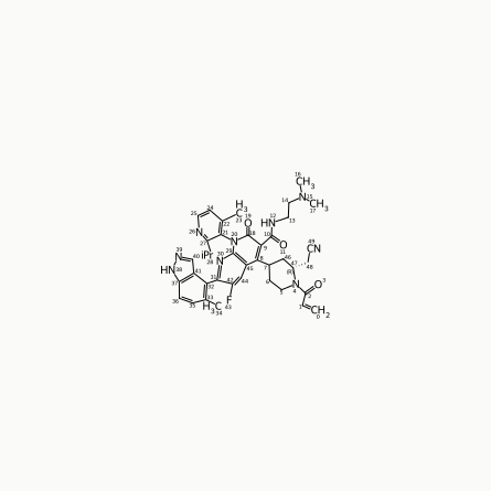 C=CC(=O)N1CCC(c2c(C(=O)NCCN(C)C)c(=O)n(-c3c(C)ccnc3C(C)C)c3nc(-c4c(C)ccc5[nH]ncc45)c(F)cc23)C[C@@H]1CC#N